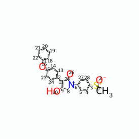 C[S+]([O-])c1ccc(N2CC(O)=C(c3ccc(Oc4ccccc4)cc3)C2=O)cc1